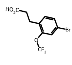 O=C(O)CCc1ccc(Br)cc1OC(F)(F)F